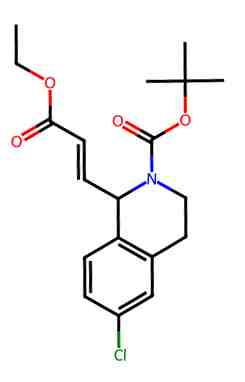 CCOC(=O)/C=C/C1c2ccc(Cl)cc2CCN1C(=O)OC(C)(C)C